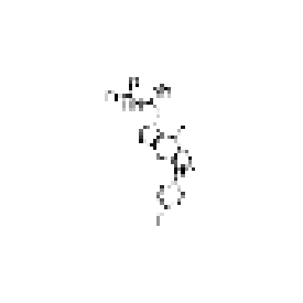 CCCC(C[C@H]1CCC2=C1[C@@H](C)c1cnn(-c3ccc(F)cc3)c1C2)NC(=O)CC